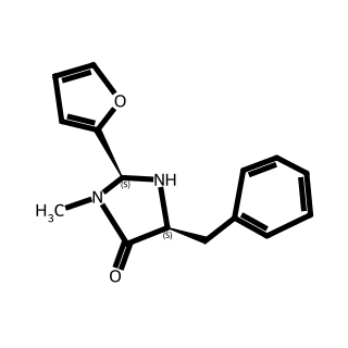 CN1C(=O)[C@H](Cc2ccccc2)N[C@@H]1c1ccco1